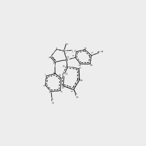 C[N+]1(C)CC=C(c2ccc(F)cc2)[B-]1(c1ccc(F)cc1)c1ccc(F)cc1